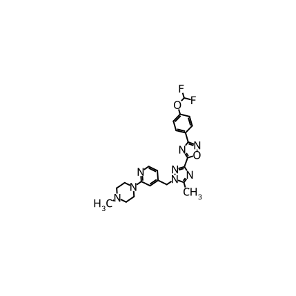 Cc1nc(-c2nc(-c3ccc(OC(F)F)cc3)no2)nn1Cc1ccnc(N2CCN(C)CC2)c1